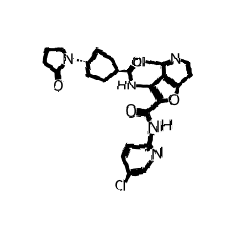 O=C(Nc1ccc(Cl)cn1)c1oc2ccnc(Cl)c2c1NC(=O)[C@H]1CC[C@H](N2CCCC2=O)CC1